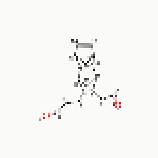 O=CCCC1C(CC=O)C2CC1C1C3C=CC(C3)C21